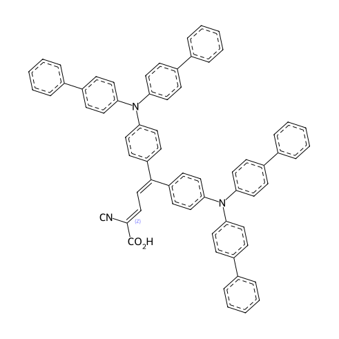 [C-]#[N+]/C(=C\C=C(c1ccc(N(c2ccc(-c3ccccc3)cc2)c2ccc(-c3ccccc3)cc2)cc1)c1ccc(N(c2ccc(-c3ccccc3)cc2)c2ccc(-c3ccccc3)cc2)cc1)C(=O)O